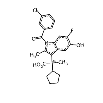 Cc1c([C@](C)(C(=O)O)C2CCCC2)c2cc(O)c(F)cc2n1C(=O)c1cccc(Cl)c1